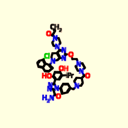 C=CC(=O)N1CCN(c2nc(OCCN3CCN(C(=O)C4CCN(Cc5ccc(-n6c(C(N)=O)nnc6-c6cc(C(C)C)c(O)cc6O)cc5)CC4)CC3)nc3c2CCN(c2cccc4cccc(Cl)c24)C3)CC1